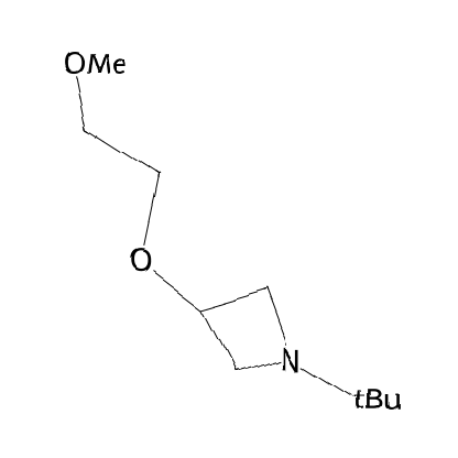 COCCOC1CN(C(C)(C)C)C1